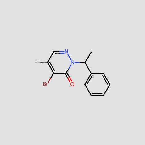 Cc1cnn(C(C)c2ccccc2)c(=O)c1Br